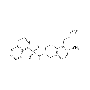 Cc1ccc2c(c1CCC(=O)O)CCC(NS(=O)(=O)c1cccc3ccccc13)C2